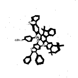 CC(C)(C)c1ccc(Nc2cc3sc4ccccc4c3cc2-c2c3c(c4c5cc6c(cc5n5c4c2Bc2cc4c(cc2-5)C(c2ccccc2)C(c2ccccc2)S4)C(C)(C)CCC6(C)C)-c2ccccc2C3(C)C)cc1